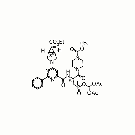 CCCCOC(=O)N1CCN(C(=O)[C@H](C[PH](=O)OC(OC(C)=O)OC(C)=O)NC(=O)c2cc(N3C[C@@H]4[C@H](C3)[C@H]4C(=O)OCC)nc(-c3ccccc3)n2)CC1